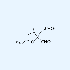 C=CCOC1([C]=O)C([C]=O)C1(C)C